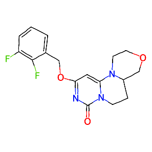 O=c1nc(OCc2cccc(F)c2F)cc2n1CCC1COCCN21